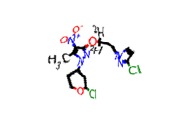 [2H]C([2H])(CCn1ccc(Cl)n1)Oc1nn(C2CCOC(Cl)C2)c(C)c1[N+](=O)[O-]